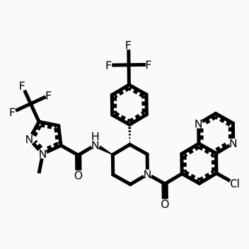 Cn1nc(C(F)(F)F)cc1C(=O)N[C@@H]1CCN(C(=O)c2cc(Cl)c3nccnc3c2)C[C@H]1c1ccc(C(F)(F)F)cc1